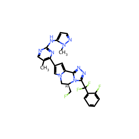 Cc1cnc(Nc2ccnn2C)nc1-c1cc2n(c1)C[C@H](CF)n1c-2nnc1C(F)(F)c1ccccc1F